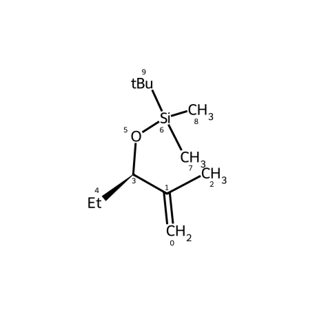 C=C(C)[C@@H](CC)O[Si](C)(C)C(C)(C)C